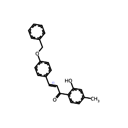 Cc1ccc(C(=O)/C=C/c2ccc(OCc3ccccc3)cc2)c(O)c1